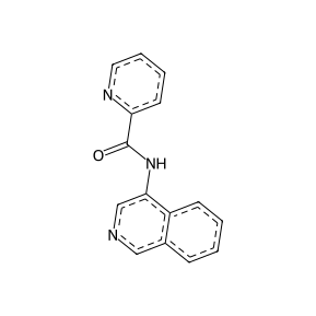 O=C(Nc1cncc2ccccc12)c1ccccn1